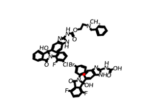 CN(CCOC(=O)Nc1nc2cc(C3(O)c4ccccc4C(=O)N3c3cccc(Cl)c3F)ccc2[nH]1)Cc1ccccc1.O=C(O)Nc1nc2ccc(C3(O)c4c(F)ccc(F)c4C(=O)N3c3cccc(Br)c3)cc2[nH]1